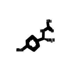 COc1ccc([C@H](NC(=O)C(C)(C)C)C(=O)O)cc1